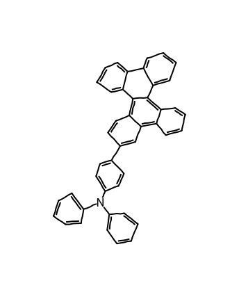 c1ccc(N(c2ccccc2)c2ccc(-c3ccc4c(c3)c3ccccc3c3c5ccccc5c5ccccc5c43)cc2)cc1